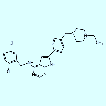 CCN1CCN(Cc2ccc(-c3cc4c(NCc5cc(Cl)ccc5Cl)ncnc4[nH]3)cc2)CC1